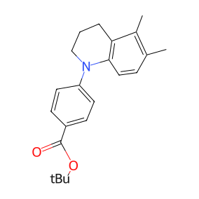 Cc1ccc2c(c1C)CCCN2c1ccc(C(=O)OC(C)(C)C)cc1